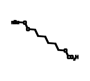 CCCCOOCCCCCCOC(=O)O